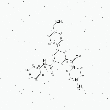 CCc1ccc(C2CC(C(=O)Nc3ccccc3)CN(C(=O)N3CCN(C)CC3)C2)cc1